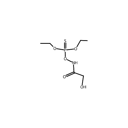 CCOP(=S)(OCC)ONC(=O)CO